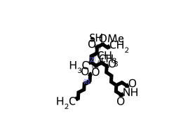 C=CCC/C=C/C(=O)O[C@@H](/C(C)=C\[C@@H](C)[C@H](OS)C(C=C)OC)[C@H](C)C(=O)CCCC1CC(=O)NC(=O)C1